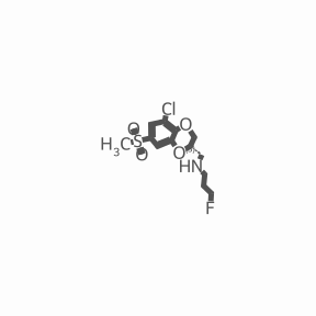 CS(=O)(=O)c1cc(Cl)c2c(c1)O[C@@H](CNCCCF)CO2